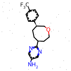 Nc1cnc(C2CCOC[C@H](c3ccc(C(F)(F)F)cc3)CC2)nc1